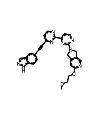 COCCOc1cc2c(cn1)CN(c1nccc(-c3nccc(C#Cc4ccc5[nH]ncc5c4)n3)n1)C2